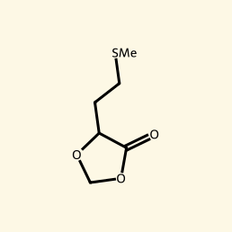 CSCCC1OCOC1=O